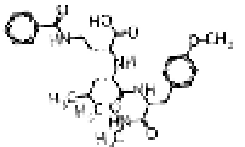 CNC(=O)[C@H](Cc1ccc(OC)cc1)NC(=O)[C@H](CC(C)C)N[C@H](CCNC(=O)c1ccccc1)C(=O)O